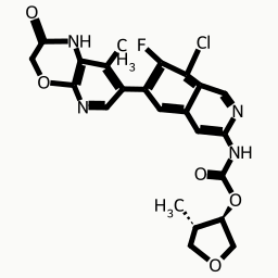 Cc1c(-c2cc3cc(NC(=O)O[C@H]4COC[C@@H]4C)ncc3c(Cl)c2F)cnc2c1NC(=O)CO2